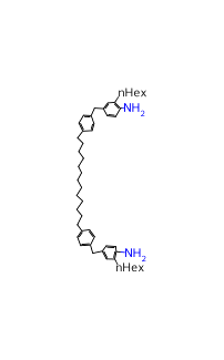 CCCCCCc1cc(Cc2ccc(CCCCCCCCCCCCCc3ccc(Cc4ccc(N)c(CCCCCC)c4)cc3)cc2)ccc1N